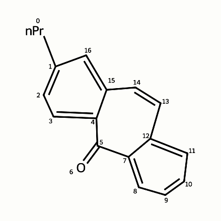 CCCc1ccc2c(=O)c3ccccc3ccc2c1